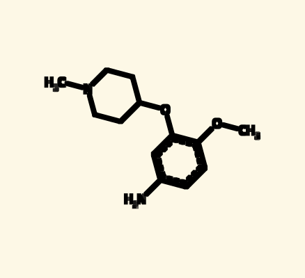 COc1ccc(N)cc1OC1CCN(C)CC1